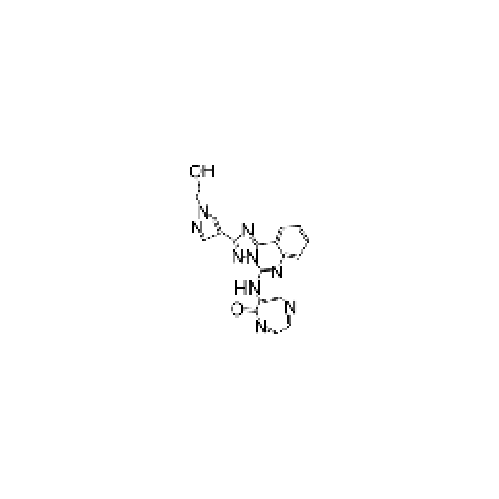 O=c1nccncc1Nc1nc2ccccc2c2nc(-c3cnn(CCO)c3)nn12